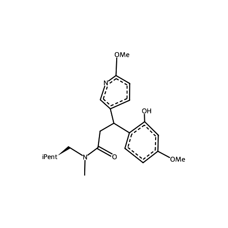 CCC[C@H](C)CN(C)C(=O)CC(c1ccc(OC)nc1)c1ccc(OC)cc1O